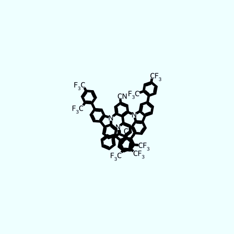 N#Cc1cc(-n2c3cc(-c4ccc(C(F)(F)F)cc4C(F)(F)F)ccc3c3ccc(-c4ccc(C(F)(F)F)cc4C(F)(F)F)cc32)c(-c2cccc(-c3ccccc3)n2)c(-n2c3cc(-c4ccc(C(F)(F)F)cc4C(F)(F)F)ccc3c3ccc(-c4ccc(C(F)(F)F)cc4C(F)(F)F)cc32)c1